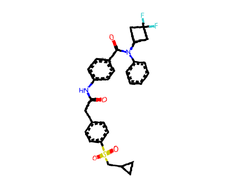 O=C(Cc1ccc(S(=O)(=O)CC2CC2)cc1)Nc1ccc(C(=O)N(c2ccccc2)C2CC(F)(F)C2)cc1